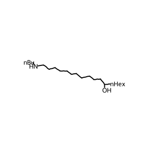 CCCCCCC(O)CCCCCCCCCCCNCCCC